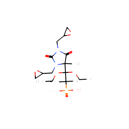 CCOC(OCC)(C1(C)C(=O)N(CC2CO2)C(=O)N1CC1CO1)C(C)(C)P(=O)(O)O